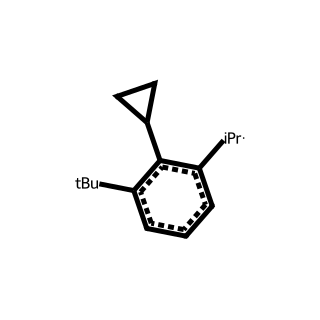 C[C](C)c1cccc(C(C)(C)C)c1C1CC1